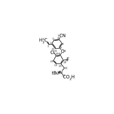 C=Cc1cc(C#N)cc(Oc2c(Cl)ccc(CN(C(=O)O)C(C)(C)C)c2F)c1